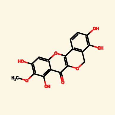 COc1c(O)cc2oc3c(c(=O)c2c1O)OCc1c-3ccc(O)c1O